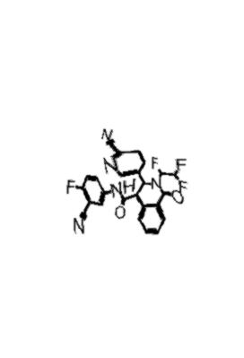 N#Cc1ccc(C2C(C(=O)Nc3ccc(F)c(C#N)c3)c3ccccc3C(=O)N2C(F)C(F)F)cn1